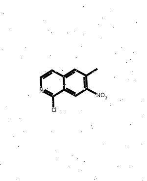 Cc1cc2ccnc(Cl)c2cc1[N+](=O)[O-]